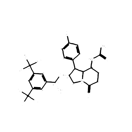 CC(=O)NC1CCC(=O)N2C[C@H](O[C@H](C)c3cc(C(F)(F)F)cc(C(F)(F)F)c3)C(c3ccc(F)cc3)C12